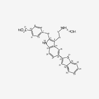 Cl.NCCc1c(Cc2ccc(C(=O)O)cc2)[nH]c2ccc(-c3cc4ccccc4s3)cc12